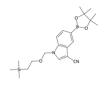 CC1(C)OB(c2ccc3c(c2)c(C#N)cn3COCC[Si](C)(C)C)OC1(C)C